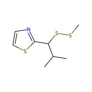 CSSC(c1nccs1)C(C)C